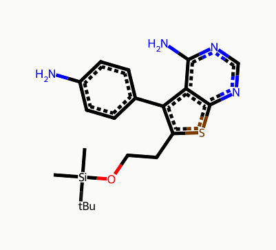 CC(C)(C)[Si](C)(C)OCCc1sc2ncnc(N)c2c1-c1ccc(N)cc1